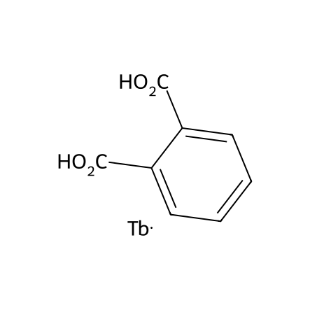 O=C(O)c1ccccc1C(=O)O.[Tb]